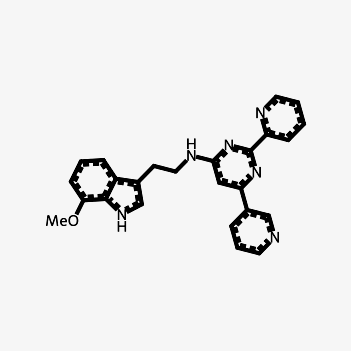 COc1cccc2c(CCNc3cc(-c4cccnc4)nc(-c4ccccn4)n3)c[nH]c12